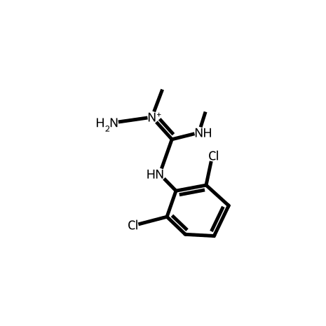 CNC(Nc1c(Cl)cccc1Cl)=[N+](C)N